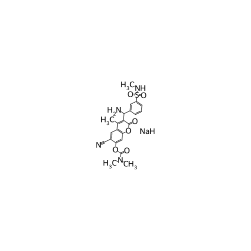 CNS(=O)(=O)c1cccc(C(N)c2c(C)c3cc(C#N)c(OC(=O)N(C)C)cc3oc2=O)c1.[NaH]